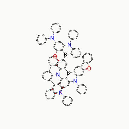 c1ccc(-c2cccc(-c3ccccc3)c2N2c3cc4c(cc3B3c5cc6c(cc5N(c5ccccc5)c5cc(N(c7ccccc7)c7ccccc7)cc2c53)oc2ccccc26)B2c3ccccc3N(c3ccccc3)c3cc(N(c5ccccc5)c5ccccc5)cc(c32)O4)cc1